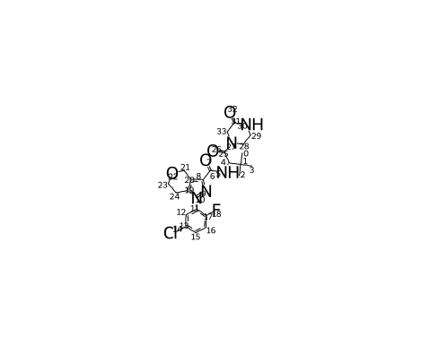 CC(C)(C)[C@H](NC(=O)c1nn(-c2cc(Cl)ccc2F)c2c1COCC2)C(=O)N1CCNC(=O)C1